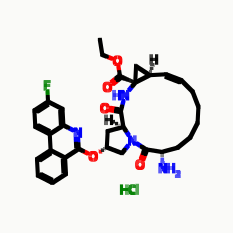 CCOC(=O)[C@@]12C[C@H]1C=CCCCCC[C@H](N)C(=O)N1C[C@H](Oc3nc4cc(F)ccc4c4ccccc34)C[C@H]1C(=O)N2.Cl